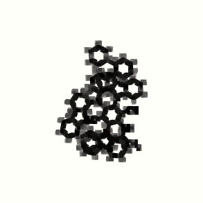 C=C(Nc1c(C#N)c(-n2c3ccccc3c3ccccc32)c(-n2c3cc(-c4ccccc4-c4ccccc4)ccc3c3ccc4c5ccccc5sc4c32)c(C#N)c1-n1c2ccccc2c2ccccc21)c1cc2ccccc2s1